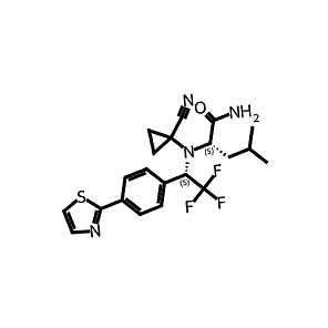 CC(C)C[C@@H](C(N)=O)N([C@@H](c1ccc(-c2nccs2)cc1)C(F)(F)F)C1(C#N)CC1